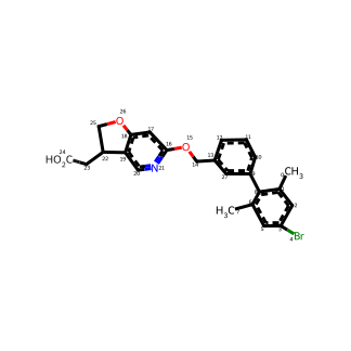 Cc1cc(Br)cc(C)c1-c1cccc(COc2cc3c(cn2)C(CC(=O)O)CO3)c1